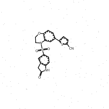 N#Cc1ccc(-c2ccc3c(c2)N(S(=O)(=O)c2ccc4c(c2)CC(=O)N4)CCO3)s1